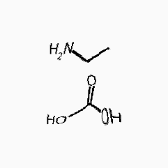 CCN.O=C(O)O